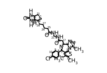 Cc1sc2c(c1C)C(c1ccc(Cl)cc1)=NC(CC(=O)NCNC(=O)CCCC[C@@H]1SCC3NC(=O)N[C@@H]31)c1nnc(C)n1-2